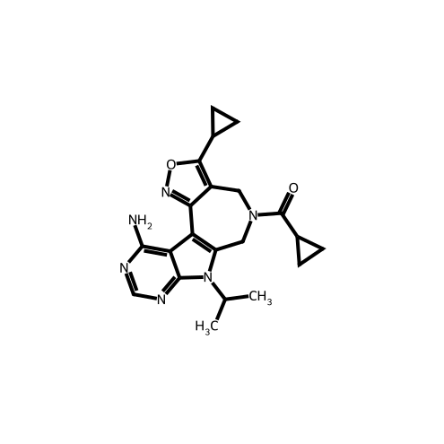 CC(C)n1c2c(c3c(N)ncnc31)-c1noc(C3CC3)c1CN(C(=O)C1CC1)C2